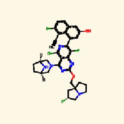 C#Cc1c(F)ccc2cc(O)cc(-c3nc(Cl)c4c(N5C[C@H]6CC[C@@H](C5)N6)nc(OC[C@@]56CCCN5C[C@H](F)C6)nc4c3F)c12